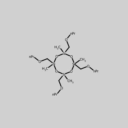 CCCOC[Si]1(C)O[Si](C)(COCCC)O[Si](C)(COCCC)O[Si](C)(COCCC)O1